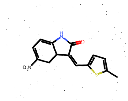 Cc1ccc(C=C2C(=O)NC3=CC=C([N+](=O)[O-])CC32)s1